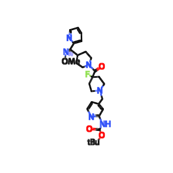 CO/N=C(/c1ccccn1)C1CCN(C(=O)C2(F)CCN(Cc3ccnc(NC(=O)OC(C)(C)C)c3)CC2)CC1